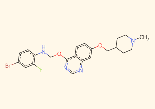 CN1CCC(COc2ccc3c(OCNc4ccc(Br)cc4F)ncnc3c2)CC1